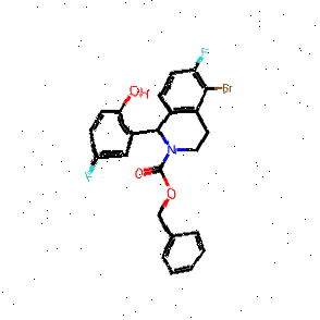 O=C(OCc1ccccc1)N1CCc2c(ccc(F)c2Br)C1c1cc(F)ccc1O